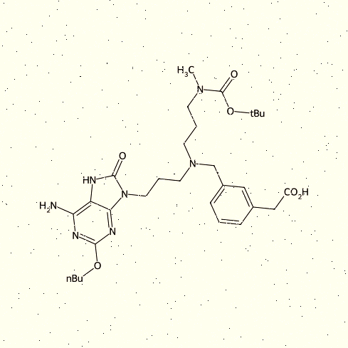 CCCCOc1nc(N)c2[nH]c(=O)n(CCCN(CCCN(C)C(=O)OC(C)(C)C)Cc3cccc(CC(=O)O)c3)c2n1